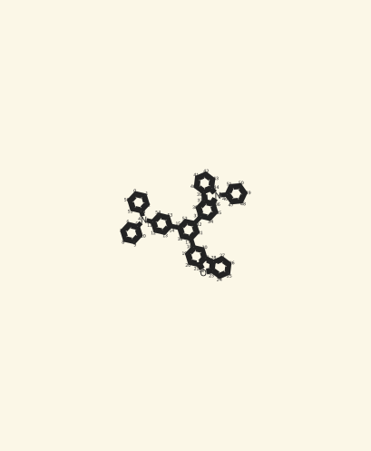 c1ccc(N(c2ccccc2)c2ccc(-c3cc(-c4ccc5oc6ccccc6c5c4)cc(-c4ccc5c(c4)c4ccccc4n5-c4ccccc4)c3)cc2)cc1